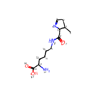 CC1CC=NC1C(=O)NCCCCC(N)C(=O)O